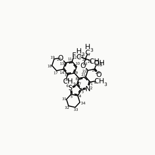 Cc1nc2c3c(sc2c(-c2cc(F)c4c(c2C)CCCO4)c1C(OC(C)(C)C)C(=O)O)CCCC3